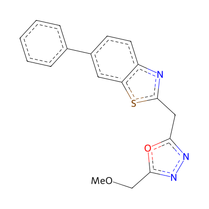 COCc1nnc(Cc2nc3ccc(-c4ccccc4)cc3s2)o1